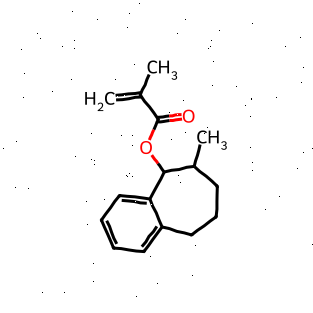 C=C(C)C(=O)OC1c2ccccc2CCCC1C